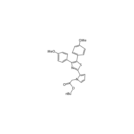 CCCCOC(=O)Cn1cccc1-c1nc(-c2ccc(OC)cc2)c(-c2ccc(OC)cc2)s1